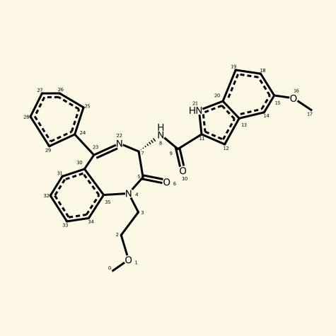 COCCN1C(=O)[C@@H](NC(=O)c2cc3cc(OC)ccc3[nH]2)N=C(c2ccccc2)c2ccccc21